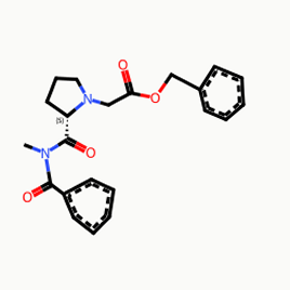 CN(C(=O)c1ccccc1)C(=O)[C@@H]1CCCN1CC(=O)OCc1ccccc1